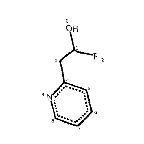 OC(F)Cc1ccccn1